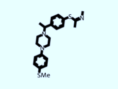 C/N=C(/C)Sc1ccc(C(C)N2CCN(c3ccc(SC)cc3)CC2)cc1